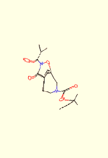 CC(C)C(=O)n1oc2c(c1=O)CCN(C(=O)OC(C)(C)C)C2